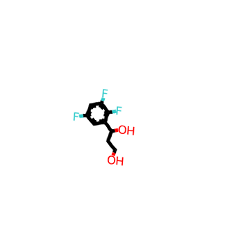 OCCC(O)c1cc(F)cc(F)c1F